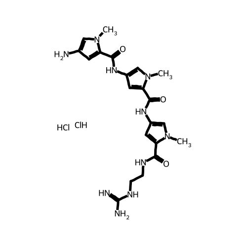 Cl.Cl.Cn1cc(NC(=O)c2cc(NC(=O)c3cc(N)cn3C)cn2C)cc1C(=O)NCCNC(=N)N